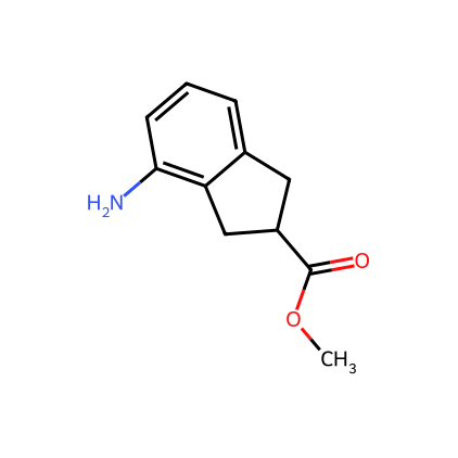 COC(=O)C1Cc2cccc(N)c2C1